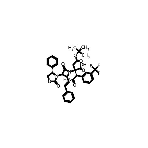 CC(C)(C)OC(=O)CC(C(=O)O)([C@H](C(N)=O)c1cccc(C(F)(F)F)c1)N1C(=O)C(N2C(=O)OC[C@@H]2c2ccccc2)C1C=Cc1ccccc1